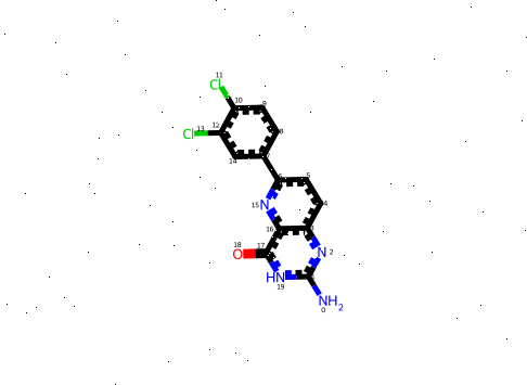 Nc1nc2ccc(-c3ccc(Cl)c(Cl)c3)nc2c(=O)[nH]1